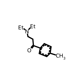 CCN(CC)CCC(=O)c1ccc(C)cc1